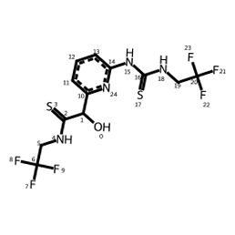 OC(C(=S)NCC(F)(F)F)c1cccc(NC(=S)NCC(F)(F)F)n1